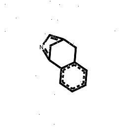 C1=C2CC(=N1)c1ccccc1C2